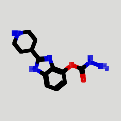 NNC(=O)Oc1cccc2[nH]c(C3CCNCC3)nc12